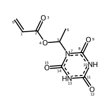 C=CC(=O)OC(C)n1c(=O)[nH]c(=O)[nH]c1=O